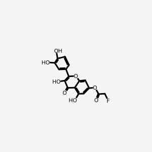 O=C(CF)Oc1cc(O)c2c(=O)c(O)c(-c3ccc(O)c(O)c3)oc2c1